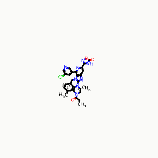 CCC(=O)N1C[C@@H](C)N(c2nc3cc(-c4noc(=O)[nH]4)nc(-c4cncc(Cl)c4)c3n2CC2CCC(C)CC2)[C@H](C)C1